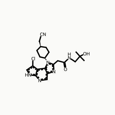 CC(C)(O)CNC(=O)Cc1nc2cnc3[nH]cc(Cl)c3c2n1[C@H]1CC[C@H](CC#N)CC1